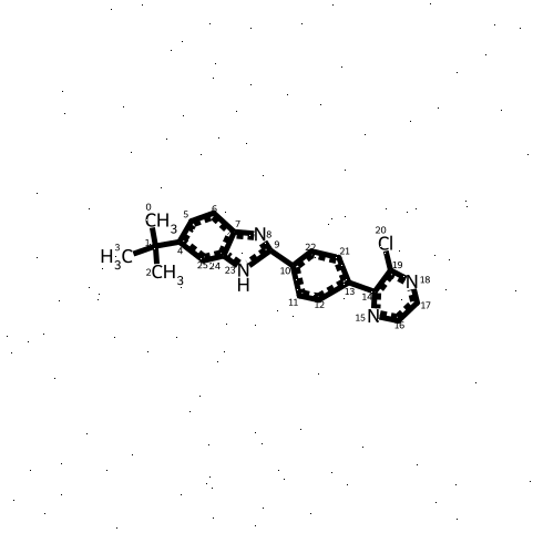 CC(C)(C)c1ccc2nc(-c3ccc(-c4nccnc4Cl)cc3)[nH]c2c1